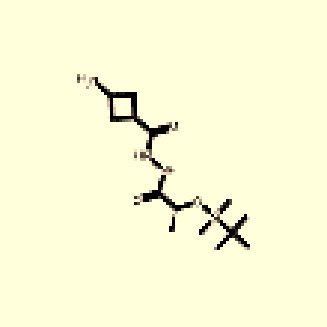 C[C@H](O[Si](C)(C)C(C)(C)C)C(=O)NNC(=O)C1CC(N)C1